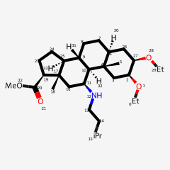 CCO[C@H]1C[C@@]2(C)[C@@H](CC[C@@H]3[C@@H]2[C@@H](NCCC(C)C)C[C@]2(C)[C@@H](C(=O)OC)CC[C@@H]32)C[C@H]1OCC